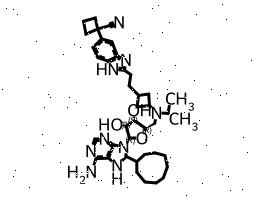 CC(C)N(C[C@H]1O[C@@H](N2c3ncnc(N)c3NC2C2CCCCCCCC2)[C@H](O)[C@@H]1O)C1CC(CCc2nc3cc(C4(C#N)CCC4)ccc3[nH]2)C1